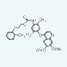 COc1cc2nccc(Oc3cc(C)c(NC(=O)OCCSc4ccccc4C)cc3C)c2cc1OC